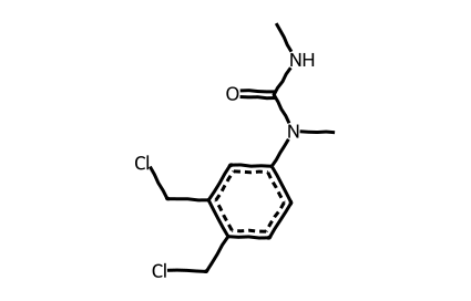 CNC(=O)N(C)c1ccc(CCl)c(CCl)c1